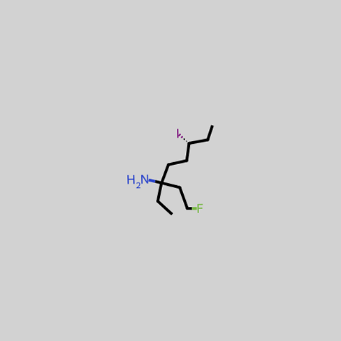 CC[C@@H](I)CCC(N)(CC)CCF